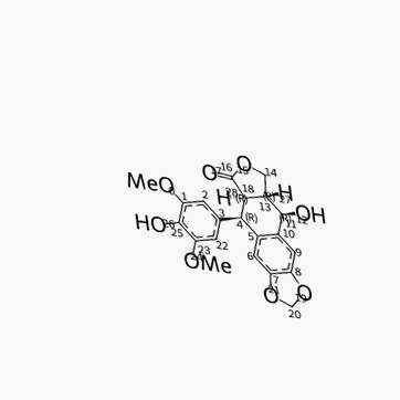 COc1cc([C@@H]2c3cc4c(cc3[C@H](O)[C@H]3COC(=O)[C@H]23)OCO4)cc(OC)c1O